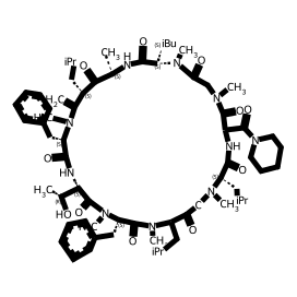 C=C1[C@H](CC(C)C)C(=O)[C@H](C)NC(=O)[C@H]([C@@H](C)CC)N(C)C(=O)CN(C)C(=O)C(C(=O)N2CCCCC2)NC(=O)[C@H](CC(C)C)N(C)CC(=O)C(CC(C)C)N(C)C(=O)[C@H](Cc2ccccc2)N(C)C(=O)[C@H]([C@@H](C)O)NC(=O)[C@H](Cc2ccccc2)N1C